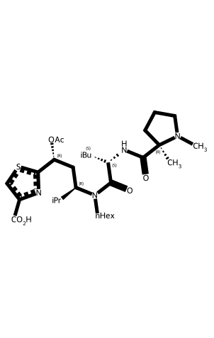 CCCCCCN(C(=O)[C@@H](NC(=O)[C@@]1(C)CCCN1C)[C@@H](C)CC)[C@H](C[C@@H](OC(C)=O)c1nc(C(=O)O)cs1)C(C)C